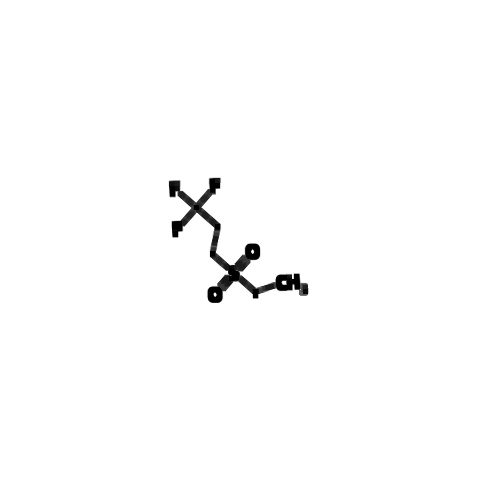 C[CH]S(=O)(=O)CCC(F)(F)F